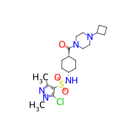 Cc1nn(C)c(Cl)c1S(=O)(=O)N[C@H]1CC[C@H](C(=O)N2CCN(C3CCC3)CC2)CC1